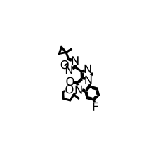 CC1(c2nc(-c3ncn4c3c(=O)n(C3(C)CCCO3)c3cc(F)ccc34)no2)CC1